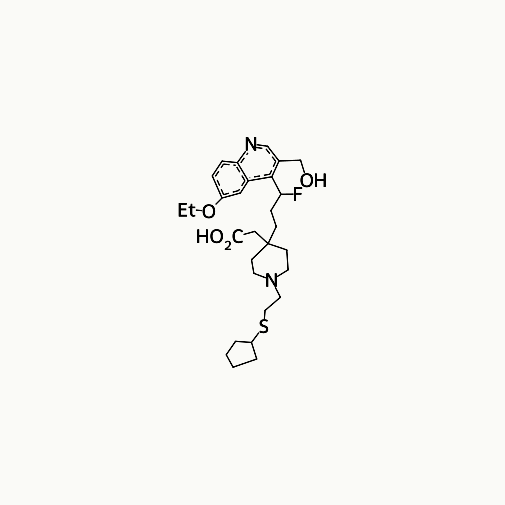 CCOc1ccc2ncc(CO)c(C(F)CCC3(CC(=O)O)CCN(CCSC4CCCC4)CC3)c2c1